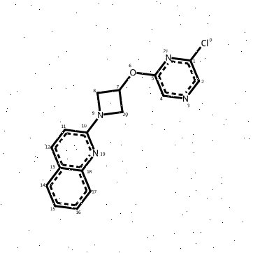 Clc1cncc(OC2CN(c3ccc4ccccc4n3)C2)n1